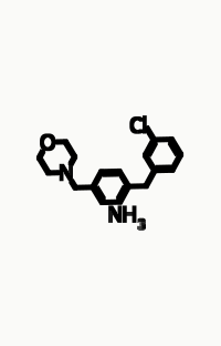 Clc1cccc(Cc2ccc(CN3CCOCC3)cc2)c1.N